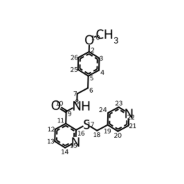 COc1ccc(CCNC(=O)c2cccnc2SCc2ccncc2)cc1